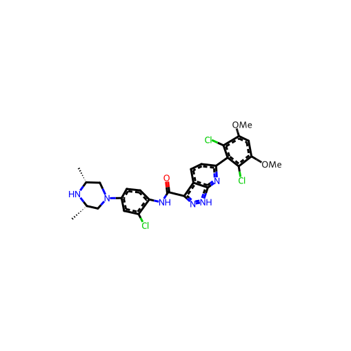 COc1cc(OC)c(Cl)c(-c2ccc3c(C(=O)Nc4ccc(N5C[C@@H](C)N[C@@H](C)C5)cc4Cl)n[nH]c3n2)c1Cl